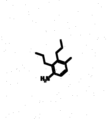 CCCc1c(C)ccc(N)c1CCC